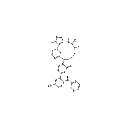 CC1CCCC(n2cnc(-c3cc(Cl)ccc3Nc3cnccn3)cc2=O)c2cc(ccn2)-c2c(cnn2C)NC1=O